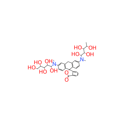 CC(O)C(O)C(O)C(O)N(C)c1ccc2c(c1)Cc1cc(N(C)C(O)C(O)C(O)C(O)CO)ccc1C21OC(=O)c2ccccc21